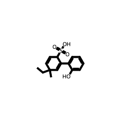 CCC1(C)C=CC(S(=O)(=O)O)C(c2ccccc2O)=C1